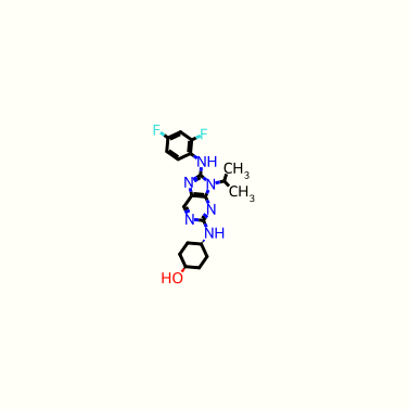 CC(C)n1c(Nc2ccc(F)cc2F)nc2cnc(N[C@H]3CC[C@H](O)CC3)nc21